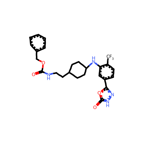 O=C(NCCC1CCC(Nc2cc(-c3n[nH]c(=O)o3)ccc2C(F)(F)F)CC1)OCc1ccccc1